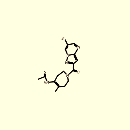 CC(=S)NC1=C(C)CCN(C(=O)c2cc3ncc(Br)cn3n2)CC1